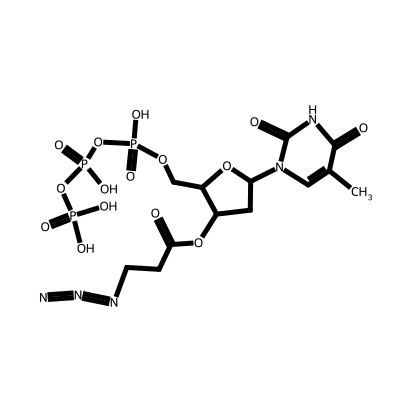 Cc1cn(C2CC(OC(=O)CCN=[N+]=[N-])C(COP(=O)(O)OP(=O)(O)OP(=O)(O)O)O2)c(=O)[nH]c1=O